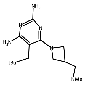 CNCC1CN(c2nc(N)nc(N)c2CC(C)(C)C)C1